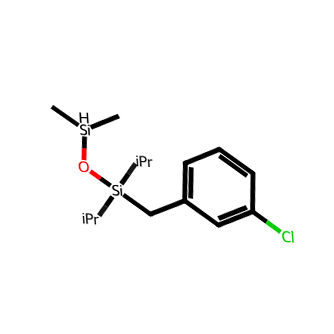 CC(C)[Si](Cc1cccc(Cl)c1)(O[SiH](C)C)C(C)C